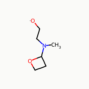 CN(CC[O])C1CCO1